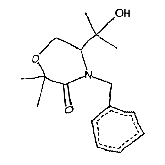 CC1(C)OCC(C(C)(C)O)N(Cc2ccccc2)C1=O